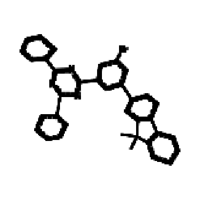 CC1(C)c2ccccc2-c2ccc(-c3cc(Br)cc(-c4nc(-c5ccccc5)nc(-c5ccccc5)n4)c3)cc21